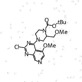 COCC1CN(c2nc(Cl)nc3cncc(OC)c23)CCN1C(=O)OC(C)(C)C